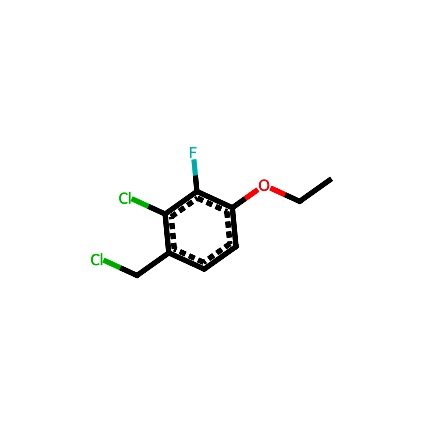 CCOc1ccc(CCl)c(Cl)c1F